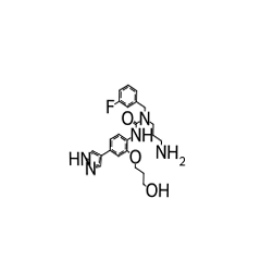 NCCCN(Cc1cccc(F)c1)C(=O)Nc1ccc(-c2cn[nH]c2)cc1OCCCO